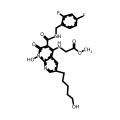 COC(=O)CNc1c(C(=O)NCc2ccc(F)cc2F)c(=O)n(O)c2ncc(CCCCCO)cc12